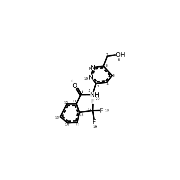 O=C(Nc1ccc(CO)nn1)c1ccccc1C(F)(F)F